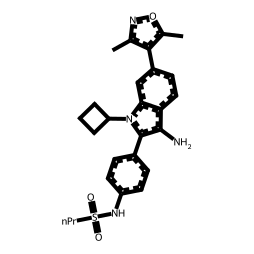 CCCS(=O)(=O)Nc1ccc(-c2c(N)c3ccc(-c4c(C)noc4C)cc3n2C2CCC2)cc1